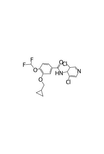 O=C(NC1C(Cl)=CN=CC1Cl)c1ccc(OC(F)F)c(OCC2CC2)c1